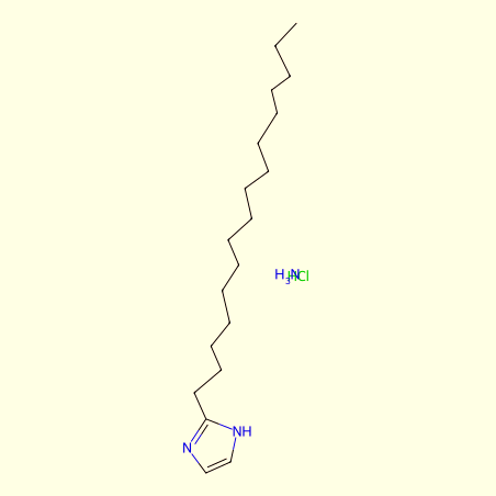 CCCCCCCCCCCCCCCCc1ncc[nH]1.Cl.N